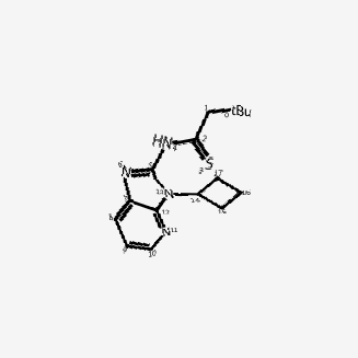 CC(C)(C)CC(=S)Nc1nc2cccnc2n1C1CCC1